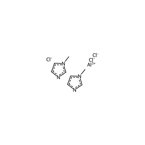 Cn1ccnc1.Cn1ccnc1.[Al+3].[Cl-].[Cl-].[Cl-]